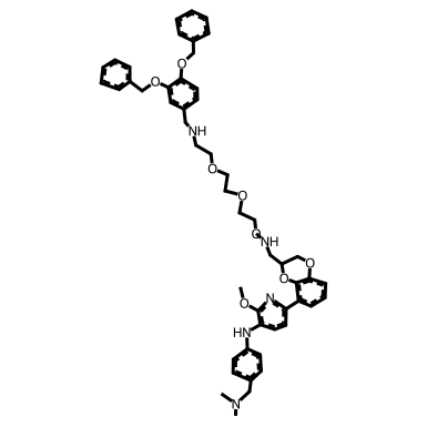 COc1nc(-c2cccc3c2OC(CNOCCOCCOCCNCc2ccc(OCc4ccccc4)c(OCc4ccccc4)c2)CO3)ccc1Nc1ccc(CN(C)C)cc1